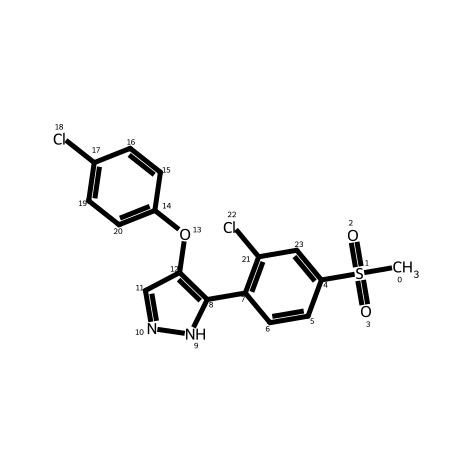 CS(=O)(=O)c1ccc(-c2[nH]ncc2Oc2ccc(Cl)cc2)c(Cl)c1